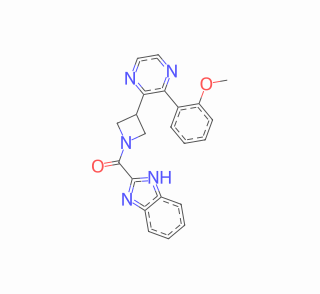 COc1ccccc1-c1nccnc1C1CN(C(=O)c2nc3ccccc3[nH]2)C1